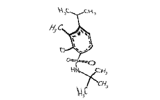 Cc1c(C(C)C)ccc(S(=O)(=O)NC(C)(C)C)c1Cl